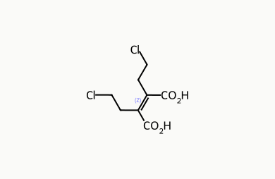 O=C(O)/C(CCCl)=C(/CCCl)C(=O)O